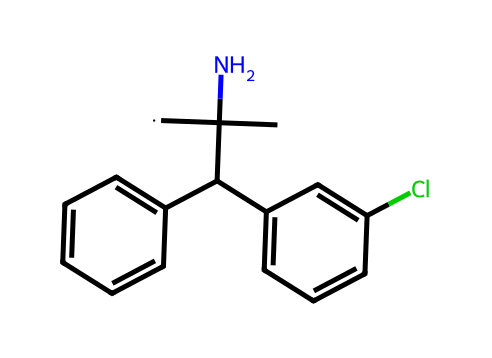 [CH2]C(C)(N)C(c1ccccc1)c1cccc(Cl)c1